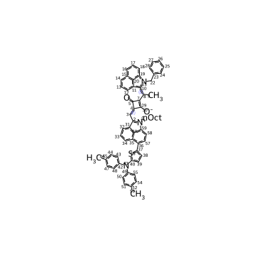 CCCCCCCC[N+]1=C(/C=C2/C(=O)C(C(/C)=c3\c4cccc5cccc(c54)n3Cc3ccccc3)=C2[O-])c2cccc3c(-c4ccc(N(c5ccc(C)cc5)c5ccc(C)cc5)s4)ccc1c23